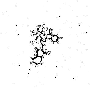 CCC(C=CCN1C(=O)c2ccccc2C1=O)C(C)(C(=O)O)N1C(=O)c2ccccc2C1=O